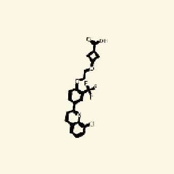 O=C(O)C1CC(OCCOc2ccc(-c3ccc4cccc(Cl)c4n3)cc2C(F)(F)F)C1